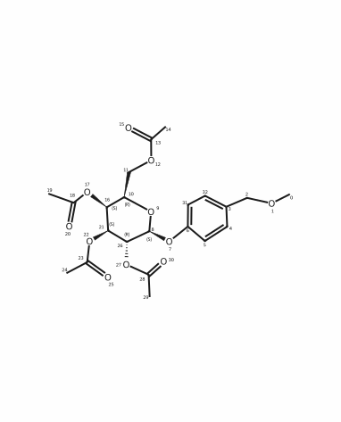 COCc1ccc(O[C@@H]2O[C@H](COC(C)=O)[C@H](OC(C)=O)[C@H](OC(C)=O)[C@H]2OC(C)=O)cc1